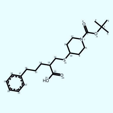 CC(C)(C)OC(=O)N1CCC(SCC(CCCc2ccccc2)C(=O)O)CC1